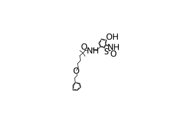 CC(C)(CCCCOCCc1ccccc1)C(=O)NCCc1ccc(O)c2[nH]c(=O)sc12